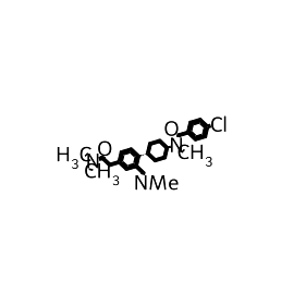 CNCc1cc(CC(=O)N(C)C)ccc1[C@H]1CC[C@H](N(C)C(=O)c2ccc(Cl)cc2)CC1